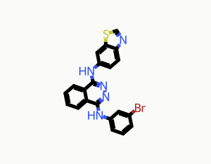 Brc1cccc(Nc2nnc(Nc3ccc4ncsc4c3)c3ccccc23)c1